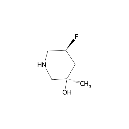 C[C@]1(O)CNC[C@@H](F)C1